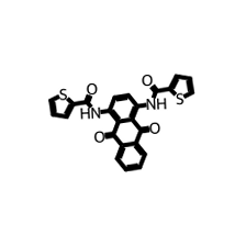 O=C(Nc1ccc(NC(=O)c2cccs2)c2c1C(=O)c1ccccc1C2=O)c1cccs1